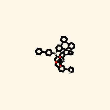 c1ccc(-c2ccc(N(c3ccc(-c4cccc(-c5ccco5)c4)cc3)c3ccc4c(c3)C3(c5ccccc5-c5ccccc5-4)c4ccccc4-c4c3ccc3c4oc4ccccc43)cc2)cc1